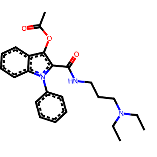 CCN(CC)CCCNC(=O)c1c(OC(C)=O)c2ccccc2n1-c1ccccc1